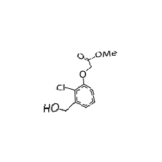 COC(=O)COc1cccc(CO)c1Cl